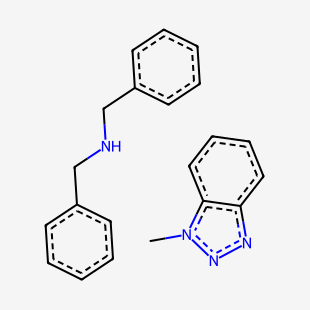 Cn1nnc2ccccc21.c1ccc(CNCc2ccccc2)cc1